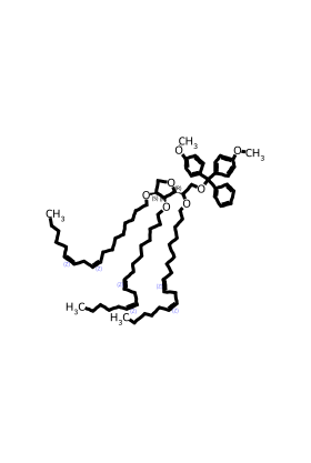 CCCCC/C=C\C/C=C\CCCCCCCCOC(COC(c1ccccc1)(c1ccc(OC)cc1)c1ccc(OC)cc1)[C@H]1OC[C@H](OCCCCCCCC/C=C\C/C=C\CCCCC)[C@H]1OCCCCCCCC/C=C\C/C=C\CCCCC